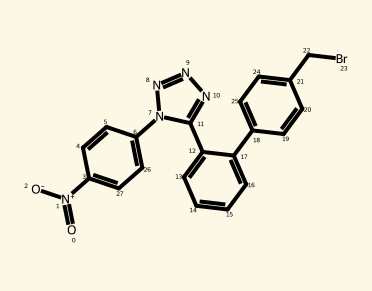 O=[N+]([O-])c1ccc(-n2nnnc2-c2ccccc2-c2ccc(CBr)cc2)cc1